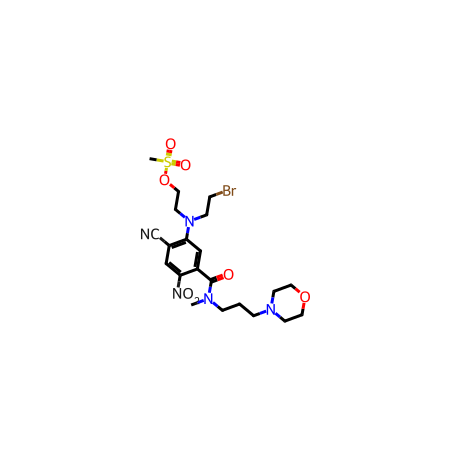 CN(CCCN1CCOCC1)C(=O)c1cc(N(CCBr)CCOS(C)(=O)=O)c(C#N)cc1[N+](=O)[O-]